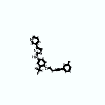 Cc1cccc(C#CCCOc2ccc(Nc3nc(-c4cccnc4)cs3)cc2C(F)(F)F)c1